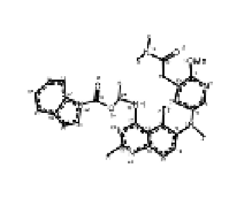 CCc1c(N(C)c2cnc(OC)c(CC(=O)N(C)C)c2)ccc2nc(C)nc(NC(C)OC(=O)n3ccc4ccccc43)c12